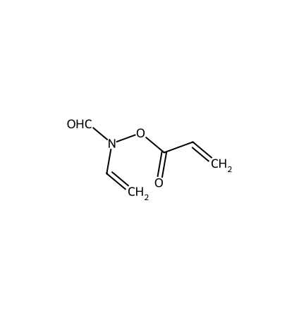 C=CC(=O)ON(C=C)C=O